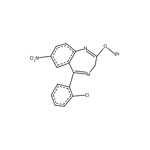 CC(C)OC1=Nc2ccc([N+](=O)[O-])cc2C(c2ccccc2Cl)=NC1